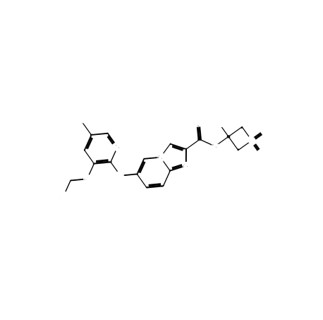 CC1(NC(=O)c2cn3cc(Oc4ncc(Cl)cc4OCC(F)(F)F)ccc3n2)CS(=O)(=O)C1